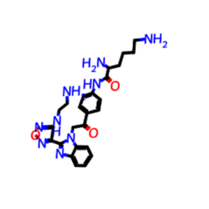 NCCCCC(N)C(=O)Nc1ccc(C(=O)Cn2c(-c3nonc3NCCN)nc3ccccc32)cc1